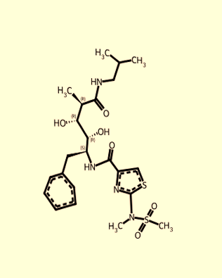 CC(C)CNC(=O)[C@H](C)[C@@H](O)[C@H](O)[C@H](Cc1ccccc1)NC(=O)c1csc(N(C)S(C)(=O)=O)n1